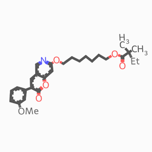 CCC(C)(C)C(=O)OCCCCCCCOc1cc2oc(=O)c(-c3cccc(OC)c3)cc2cn1